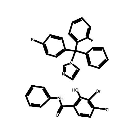 Fc1ccc(C(c2ccccc2)(c2ccccc2F)n2ccnc2)cc1.O=C(Nc1ccccc1)c1ccc(Cl)c(Br)c1O